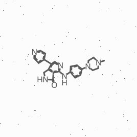 CN1CCN(c2ccc(Nc3ncc(-c4ccncc4)c4c3C(=O)NC4)cc2)CC1